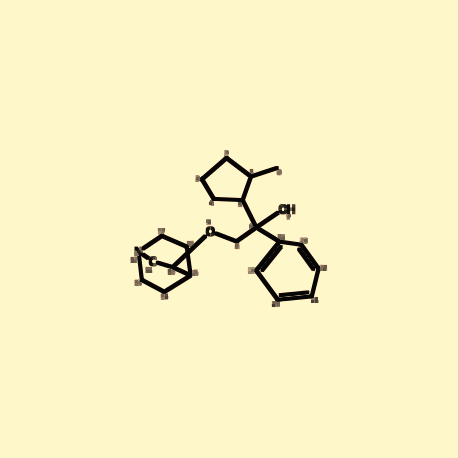 CC1CCCC1C(O)(COC1CN2CCC1CC2)c1ccccc1